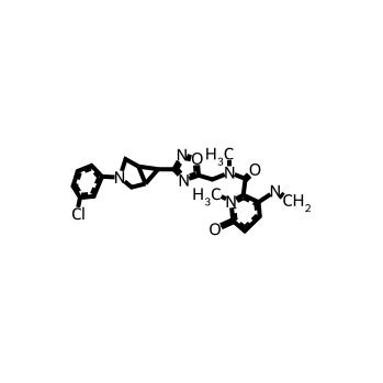 C=Nc1ccc(=O)n(C)c1C(=O)N(C)Cc1nc(C2C3CN(c4cccc(Cl)c4)CC32)no1